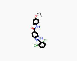 COc1ccc(NC(=O)c2ccc3nc(-c4c(Cl)cccc4Cl)[nH]c3c2)cc1